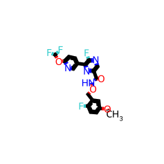 COc1ccc(F)c(CONC(=O)c2cnc(F)c(-c3ccc(OC(F)F)nc3)n2)c1